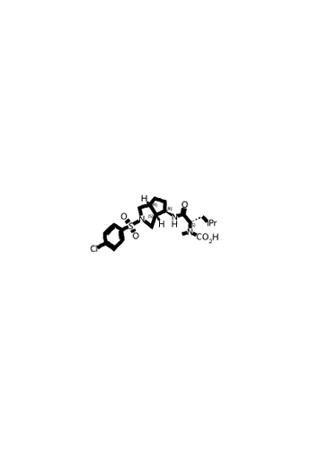 CC(C)C[C@@H](C(=O)N[C@@H]1CC[C@H]2CN(S(=O)(=O)c3ccc(Cl)cc3)C[C@H]21)N(C)C(=O)O